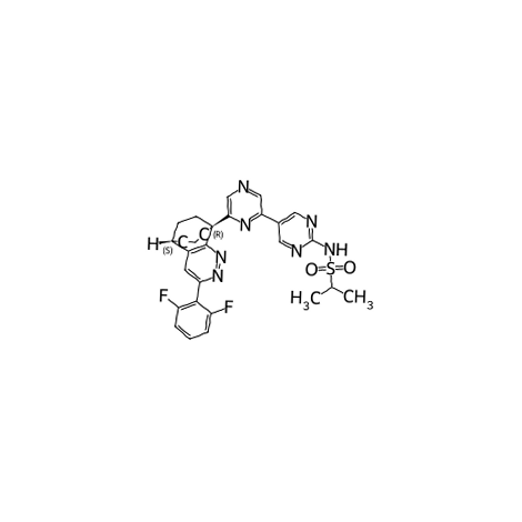 CC(C)S(=O)(=O)Nc1ncc(-c2cncc([C@@]34CCC[C@@H](CC3)c3cc(-c5c(F)cccc5F)nnc34)n2)cn1